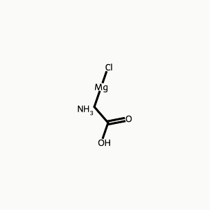 N.O=C(O)[CH2][Mg][Cl]